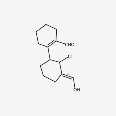 O=CC1=C(C2CCC/C(=C\O)C2Cl)CCCC1